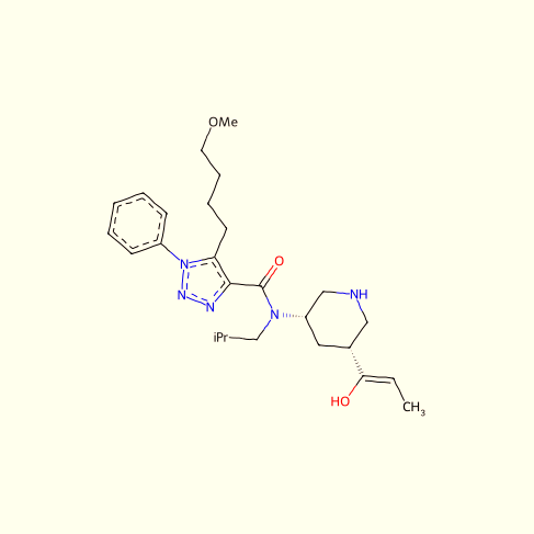 C/C=C(\O)[C@H]1CNC[C@@H](N(CC(C)C)C(=O)c2nnn(-c3ccccc3)c2CCCCOC)C1